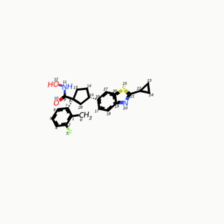 Cc1c(F)cccc1[C@]1(C(=O)NO)CC[C@H](c2ccc3nc(C4CC4)sc3c2)C1